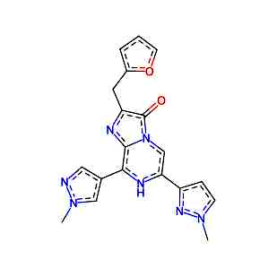 Cn1cc(-c2[nH]c(-c3ccn(C)n3)cn3c(=O)c(Cc4ccco4)nc2-3)cn1